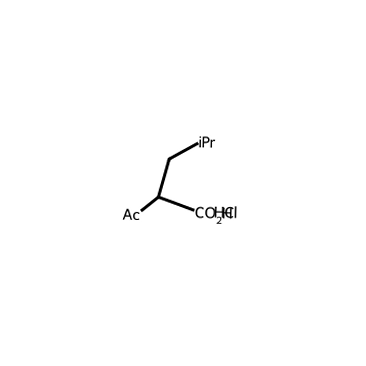 CC(=O)C(CC(C)C)C(=O)O.Cl